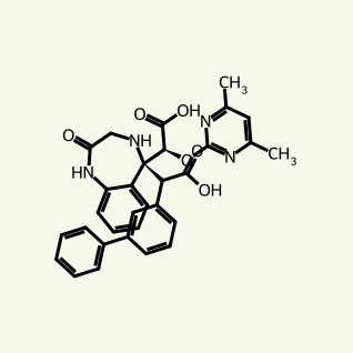 Cc1cc(C)nc(O[C@H](C(=O)O)[C@@]2(C(C(=O)O)c3cccc(-c4ccccc4)c3)NCC(=O)Nc3ccccc32)n1